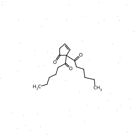 CCCCCC(=O)C1(C(=O)CCCCC)C=CCC1=O